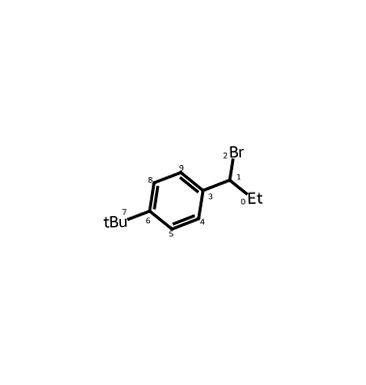 CCC(Br)c1ccc(C(C)(C)C)cc1